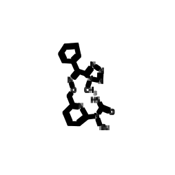 CCC(C)N(C(=O)S)c1cccc(CO/N=C(/c2ccccc2)c2nnnn2C)n1